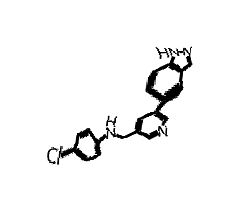 Clc1ccc(NCc2cncc(-c3ccc4[nH]ncc4c3)c2)cc1